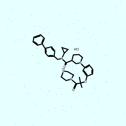 CC(C)(Oc1cccc(N2CCCC(C(=O)N(Cc3ccc(-c4ccccc4)cc3)C3CC3)C2)c1)C(=O)N1CCNCC1.Cl